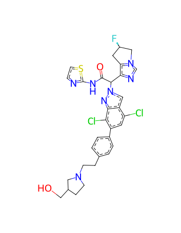 O=C(Nc1nccs1)C(c1ncn2c1C[C@@H](F)C2)n1cc2c(Cl)cc(-c3ccc(CCN4CCC(CO)C4)cc3)c(Cl)c2n1